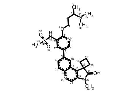 CC(CCOc1ncc(-c2ccc3ncc4c(c3c2)C2(CCC2)C(=O)N4C)cc1NS(C)(=O)=O)N(C)C